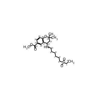 CCS(=O)(=O)CCCCCCNC1CC(C)(C)Oc2ccc(C(=O)OC)cc21